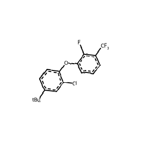 CC(C)(C)c1ccc(Oc2cccc(C(F)(F)F)c2F)c(Cl)c1